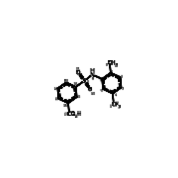 Cc1ccc(C(F)(F)F)cc1NS(=O)(=O)c1cccc(C(=O)O)c1